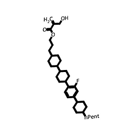 C=C(CO)C(=O)OCCCC1CCC(C2CCC(c3ccc(C4CCC(CCCCC)CC4)cc3F)CC2)CC1